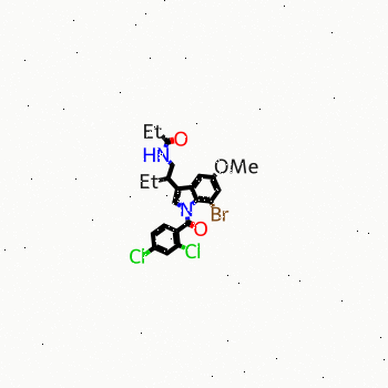 CCC(=O)NCC(CC)c1cn(C(=O)c2ccc(Cl)cc2Cl)c2c(Br)cc(OC)cc12